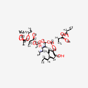 C/C=C/C=C/C(=O)O.CC(=O)O.CC=Cc1ccc(OCC)c(O)c1.CCC(=O)O.CCC=O.CCCOC(C)=O.C[CH]C.[KH]